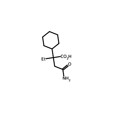 CCC(CC(N)=O)(C(=O)O)C1CCCCC1